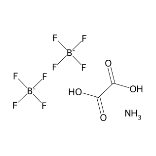 F[B-](F)(F)F.F[B-](F)(F)F.N.O=C(O)C(=O)O